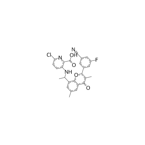 Cc1cc(C(C)Nc2ccc(Cl)nc2C(=O)O)c2oc(-c3cc(F)cc(C#N)c3)c(C)c(=O)c2c1